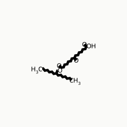 CCCCCCCC(CCCCCCC)COC(=O)CCCCCCC(=O)CCCCCCC(=O)O